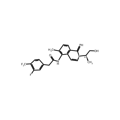 Cc1ccc2c(=P)n([C@H](C)CO)ccc2c1NC(=O)Cc1ccc(C(F)(F)F)c(F)c1